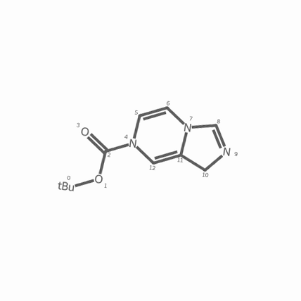 CC(C)(C)OC(=O)N1C=CN2C=NCC2=C1